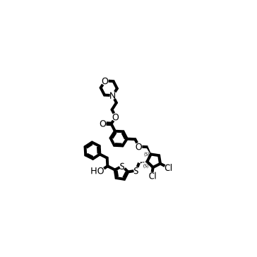 O=C(OCCN1CCOCC1)c1cccc(COC[C@H]2CC(Cl)C(Cl)[C@@H]2CSc2ccc(C(O)Cc3ccccc3)s2)c1